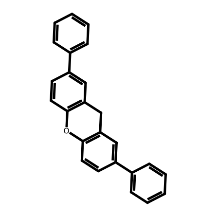 c1ccc(-c2ccc3c(c2)Cc2cc(-c4ccccc4)ccc2O3)cc1